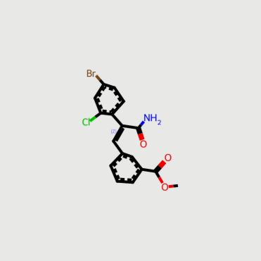 COC(=O)c1cccc(/C=C(\C(N)=O)c2ccc(Br)cc2Cl)c1